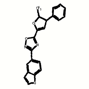 FC(F)(F)C1OC(c2nc(-c3ccc4occc4c3)no2)=CC1c1ccccc1